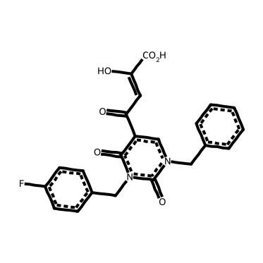 O=C(O)C(O)=CC(=O)c1cn(Cc2ccccc2)c(=O)n(Cc2ccc(F)cc2)c1=O